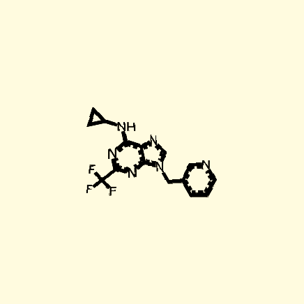 FC(F)(F)c1nc(NC2CC2)c2ncn(Cc3cccnc3)c2n1